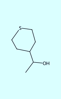 CC(O)C1CCSCC1